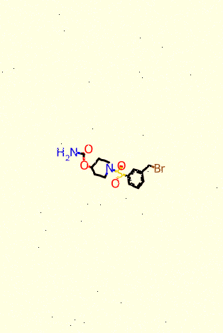 NC(=O)OC1CCN(S(=O)(=O)c2cccc(CBr)c2)CC1